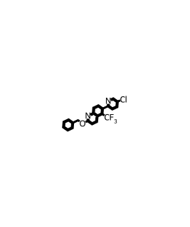 FC(F)(F)c1c(-c2ccc(Cl)cn2)ccc2nc(OCc3ccccc3)ccc12